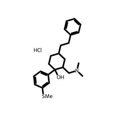 CSc1cccc(C2(O)CCC(CCc3ccccc3)CC2CN(C)C)c1.Cl